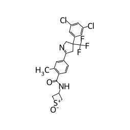 Cc1cc(C2=NCC(c3cc(Cl)cc(Cl)c3)(C(F)(F)F)C2)ccc1C(=O)NC1C[S+]([O-])C1